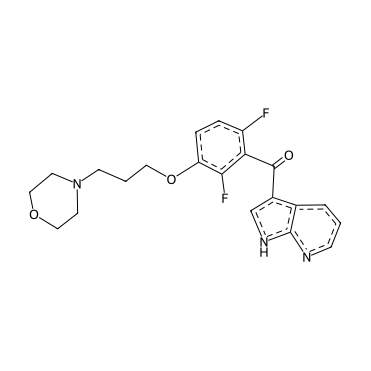 O=C(c1c(F)ccc(OCCCN2CCOCC2)c1F)c1c[nH]c2ncccc12